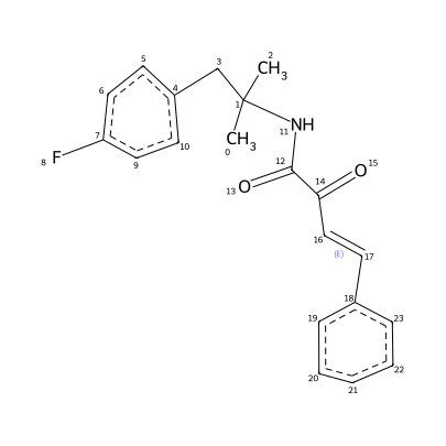 CC(C)(Cc1ccc(F)cc1)NC(=O)C(=O)/C=C/c1ccccc1